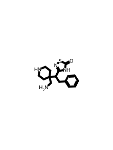 NCC1(C(Cc2ccccc2)c2nsc(=O)[nH]2)CCNCC1